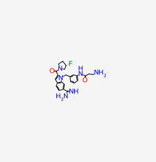 N=C(N)c1ccc2cc(C(=O)N3CC[C@H](F)C3)n(Cc3cccc(NC(=O)CCN)c3)c2c1